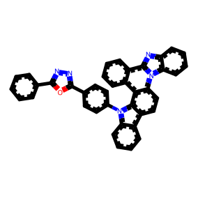 c1ccc(-c2nnc(-c3ccc(-n4c5ccccc5c5ccc6c(c7ccccc7c7nc8ccccc8n67)c54)cc3)o2)cc1